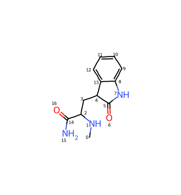 CNC(CC1C(=O)Nc2ccccc21)C(N)=O